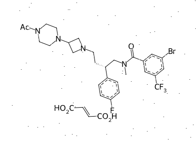 CC(=O)N1CCN(C2CN(CC[C@H](CN(C)C(=O)c3cc(Br)cc(C(F)(F)F)c3)c3ccc(F)cc3)C2)CC1.O=C(O)/C=C/C(=O)O